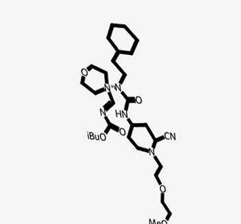 COCCOCCN1CCC(NC(=O)N(CCC2CCCCC2)[N+]2(C=NC(=O)OCC(C)C)CCOCC2)CC1C#N